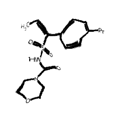 CC=C(c1ccc(C(C)C)cc1)S(=O)(=O)NC(=O)N1CCOCC1